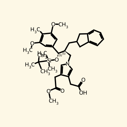 COC(=O)Cc1cn(C[C@H](CC2Cc3ccccc3C2)[C@H](O[Si](C)(C)C(C)(C)C)c2cc(OC)c(C)c(OC)c2)cc1CC(=O)O